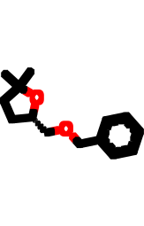 CC1(C)CC[C@@H](COCc2ccccc2)O1